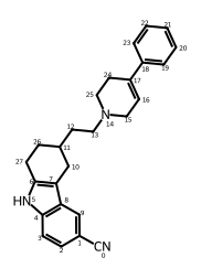 N#Cc1ccc2[nH]c3c(c2c1)CC(CCN1CC=C(c2ccccc2)CC1)CC3